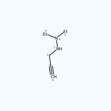 C#CCNN(CC)CC